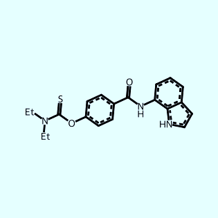 CCN(CC)C(=S)Oc1ccc(C(=O)Nc2cccc3cc[nH]c23)cc1